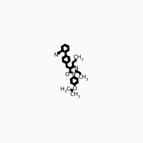 CCCc1nc(CC)n(-c2ccc(OC(C)C)cc2)c(=O)c1Cc1ccc(-c2ccccc2C#N)cc1